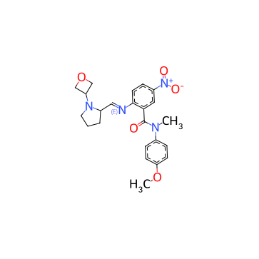 COc1ccc(N(C)C(=O)c2cc([N+](=O)[O-])ccc2/N=C/C2CCCN2C2COC2)cc1